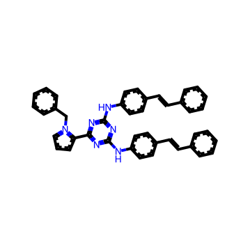 C(=Cc1ccc(Nc2nc(Nc3ccc(C=Cc4ccccc4)cc3)nc(-c3cccn3Cc3ccccc3)n2)cc1)c1ccccc1